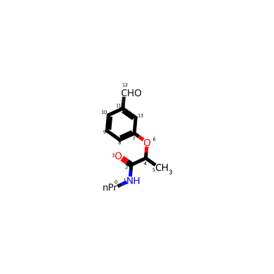 CCCNC(=O)C(C)Oc1cccc(C=O)c1